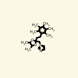 Cc1c(C)c(C)c(CCC2(Cn3ccnc3)OC(C)C(C)O2)c(C)c1C